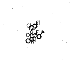 O=C(NCC(F)(F)c1ccc(Cl)cc1Cl)c1c(Oc2cccc(C3CC3)c2F)nnc2c1CCCC2